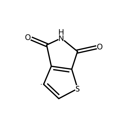 O=C1NC(=O)c2sc[c]c21